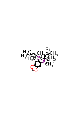 C[P@@](c1cc2c(cc1[P@](C)C(C)(C)CC(C)(C)C)OCO2)C(C)(C)CC(C)(C)C